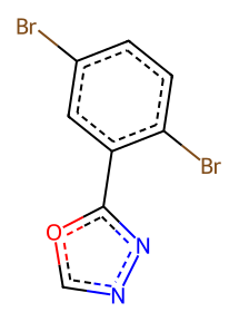 Brc1ccc(Br)c(-c2nnco2)c1